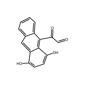 O=CC(=O)c1c2ccccc2cc2c(O)ccc(O)c12